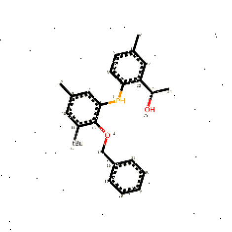 Cc1ccc(Pc2cc(C)cc(C(C)(C)C)c2OCc2ccccc2)c(C(C)O)c1